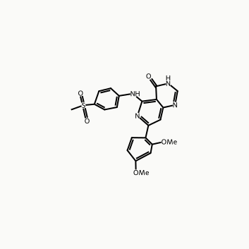 COc1ccc(-c2cc3nc[nH]c(=O)c3c(Nc3ccc(S(C)(=O)=O)cc3)n2)c(OC)c1